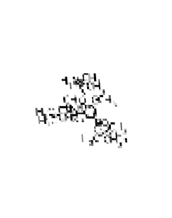 COc1cc(B2OC(C)(C)C(C)(C)O2)cc(C(=O)NC(C)(C)CC(C)(C)C)c1OCC[Si](C)(C)C